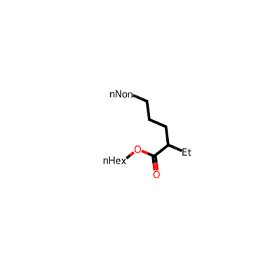 CCCCCCCCCCCCC(CC)C(=O)OCCCCCC